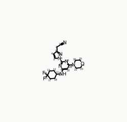 N#CCc1ccn(-c2nc(NC3CCC(F)(F)CC3)cc(N3CCOCC3)n2)n1